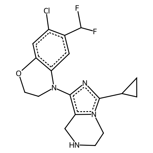 FC(F)c1cc2c(cc1Cl)OCCN2c1nc(C2CC2)n2c1CNCC2